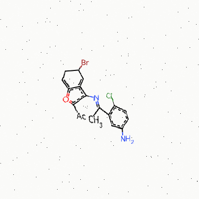 CC(=O)c1oc2c(c1/N=C(\C)c1cc(N)ccc1Cl)=CC(Br)CC=2